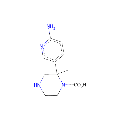 CC1(c2ccc(N)nc2)CNCCN1C(=O)O